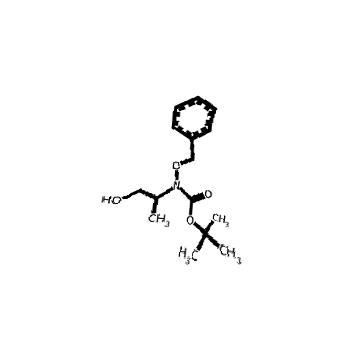 CC(CO)N(OCc1ccccc1)C(=O)OC(C)(C)C